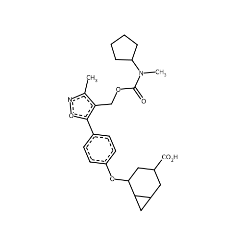 Cc1noc(-c2ccc(OC3CC(C(=O)O)CC4CC43)cc2)c1COC(=O)N(C)C1CCCC1